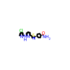 NC(=O)[C@H]1CC[C@H](c2ncc(-c3cccc(Nc4cc(Cl)ccn4)n3)s2)CC1